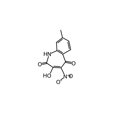 Cc1ccc2c(=O)c([N+](=O)[O-])c(O)c(=O)[nH]c2c1